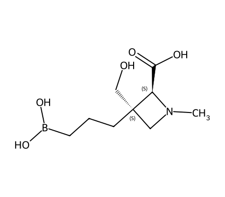 CN1C[C@@](CO)(CCCB(O)O)[C@H]1C(=O)O